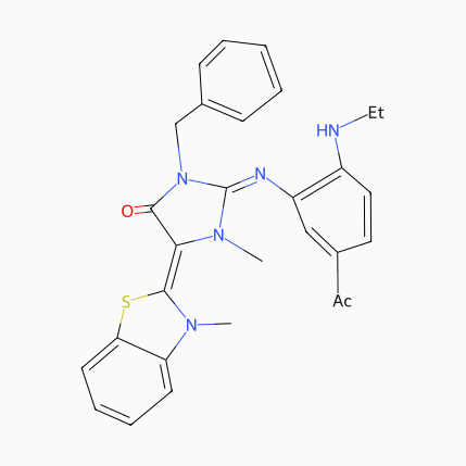 CCNc1ccc(C(C)=O)cc1N=C1N(C)C(=C2Sc3ccccc3N2C)C(=O)N1Cc1ccccc1